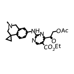 CCOC(=O)c1cnc(Nc2ccc3c(c2)CN(C)CC32CC2)nc1C(=O)COC(C)=O